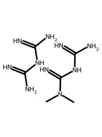 CN(C)C(=N)NC(=N)N.N=C(N)NC(=N)N